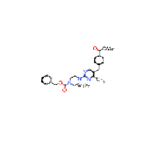 COC(=O)c1ccc(Cc2cnc(N3CCN(C(=O)OCc4ccccc4)C[C@H]3C(C)C)nc2C(F)(F)F)cc1